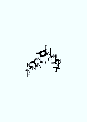 CNc1ncc2c(n1)N(C)C(=O)N(c1cc(NC(=O)Nc3ncn(C(C)(C)C)c3C)c(F)cc1C)C2